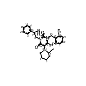 Cc1c(N2CCCCC2C)c(=O)n(C[C@H](N)c2ccccc2)c(=O)n1Cc1c(F)cccc1F